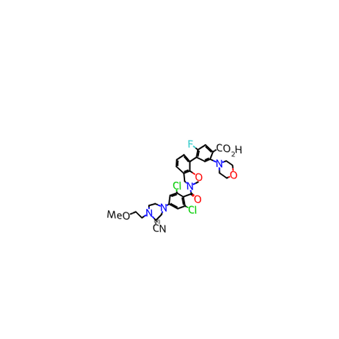 COCCN1CCN(c2cc(Cl)c(C(=O)N3COc4c(cccc4-c4cc(N5CCOCC5)c(C(=O)O)cc4F)C3)c(Cl)c2)C[C@@H]1C#N